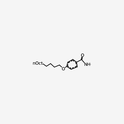 CCCCCCCCCCCCOc1ccc(C([NH])=O)cc1